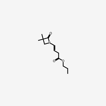 CCCOC(=O)CC=CN1CC(C)(C)C1=O